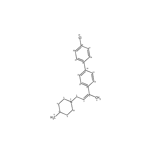 CC(=CCN1CCC(C)CC1)c1ccc(-c2ccc(Cl)cc2)cc1